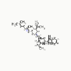 CC(C)=CCC/C(C)=C/CC/C(=C/CSCC(Nc1[nH]ccc1C)c1nc2ccccc2[nH]1)CC=C(C)C